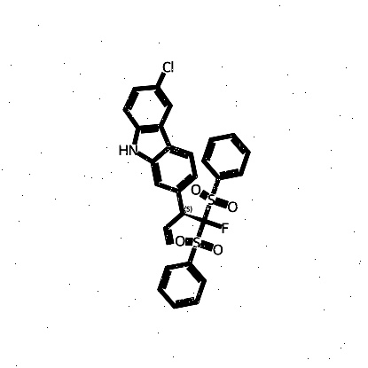 C=C[C@@H](c1ccc2c(c1)[nH]c1ccc(Cl)cc12)C(F)(S(=O)(=O)c1ccccc1)S(=O)(=O)c1ccccc1